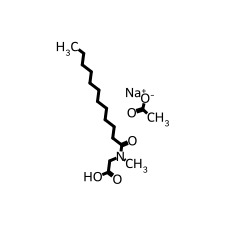 CC(=O)[O-].CCCCCCCCCCCC(=O)N(C)CC(=O)O.[Na+]